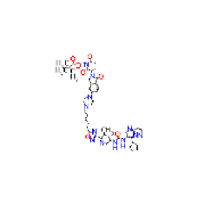 Cc1cc(NC(=O)Nc2cnc3ccnn3c2C2CCCC2)cnc1-c1noc(CCCCCN2CCN(c3ccc4c(c3)CN(C3CCC(=O)N(COC(=O)C(C)(C)C)C3=O)C4=O)CC2)n1